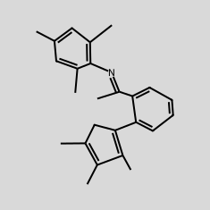 CC1=C(C)C(C)=C(c2ccccc2/C(C)=N/c2c(C)cc(C)cc2C)C1